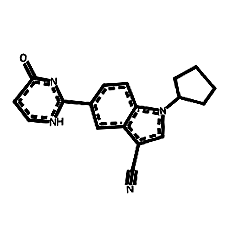 N#Cc1cn(C2CCCC2)c2ccc(-c3nc(=O)cc[nH]3)cc12